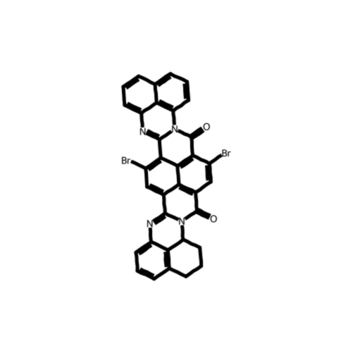 O=c1c2cc(Br)c3c(=O)n4c5cccc6cccc(nc4c4c(Br)cc(c7n1C1CCCc8cccc(c81)N=7)c2c34)c65